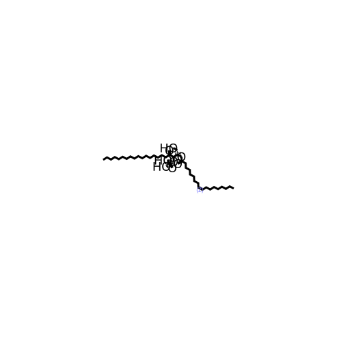 CCCCCCCC/C=C\CCCCCCCC(=O)O[C@@H](CO)C(OP(=O)(O)O)C(=O)CCCCCCCCCCCCCCCCC